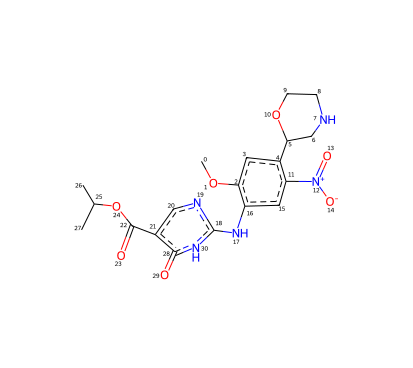 COc1cc(C2CNCCO2)c([N+](=O)[O-])cc1Nc1ncc(C(=O)OC(C)C)c(=O)[nH]1